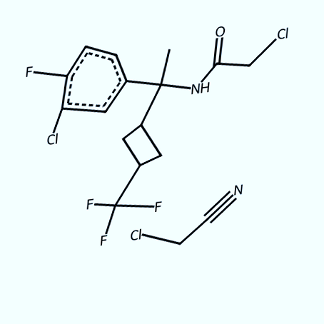 CC(NC(=O)CCl)(c1ccc(F)c(Cl)c1)C1CC(C(F)(F)F)C1.N#CCCl